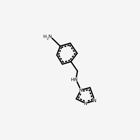 Nc1ccc(CNn2cnnc2)cc1